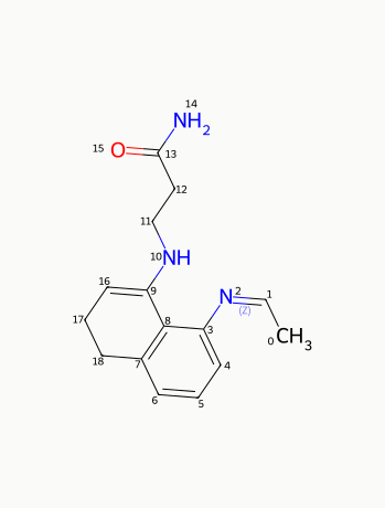 C/C=N\c1cccc2c1C(NCCC(N)=O)=CCC2